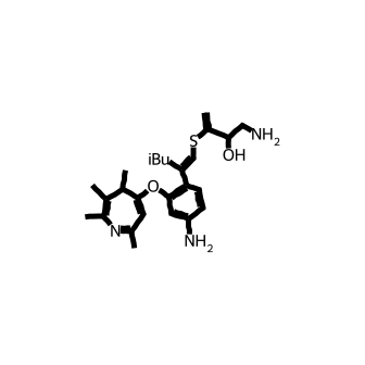 C=C(S/C=C(/c1ccc(N)cc1OC1=CC(C)=NC(C)=C(C)C1C)C(C)CC)C(O)CN